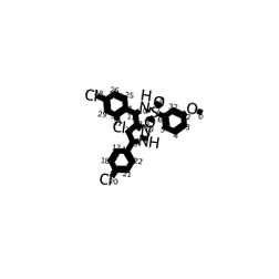 COc1cccc(S(=O)(=O)NC(C2=NNC(c3ccc(Cl)cc3)C2)c2ccc(Cl)cc2Cl)c1